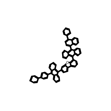 c1ccc(-c2ccc(-c3c4ccccc4c(-c4ccc5c(c4)oc4c(-c6c7ccccc7c(-c7ccc(-c8ccccc8)c8ccccc78)c7ccccc67)cccc45)c4ccccc34)cc2)cc1